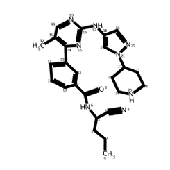 CCCC(C#N)NC(=O)c1cccc(-c2nc(Nc3cnn(C4CCNCC4)c3)ncc2C)c1